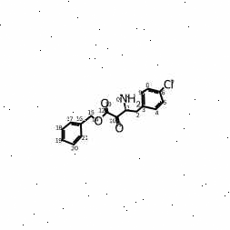 N[C@@H](Cc1ccc(Cl)cc1)C(=O)C(=O)OCc1ccccc1